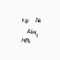 Br.F.[AlH3].[Ni]